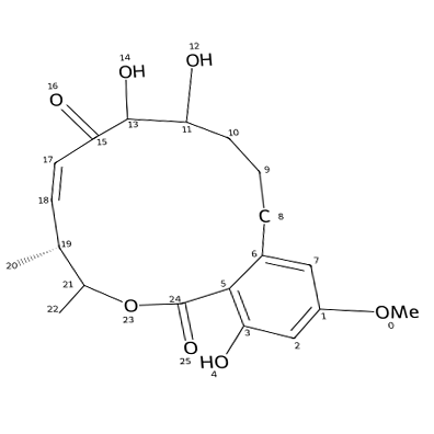 COc1cc(O)c2c(c1)CCCC(O)C(O)C(=O)/C=C\[C@@H](C)C(C)OC2=O